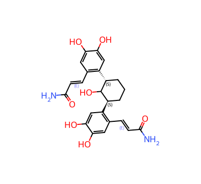 NC(=O)/C=C/c1cc(O)c(O)cc1[C@@H]1CCC[C@@H](c2cc(O)c(O)cc2/C=C/C(N)=O)C1O